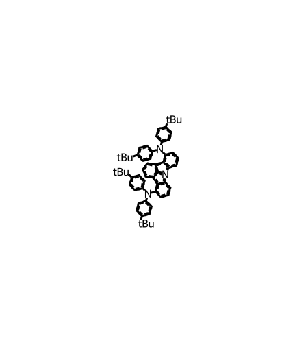 CC(C)(C)c1ccc(N(c2ccc(C(C)(C)C)cc2)c2cccc3c2c2cccc4c5c(N(c6ccc(C(C)(C)C)cc6)c6ccc(C(C)(C)C)cc6)cccc5n3c24)cc1